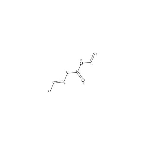 C=COC(=O)C/C=C/C